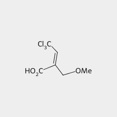 COCC(=CC(Cl)(Cl)Cl)C(=O)O